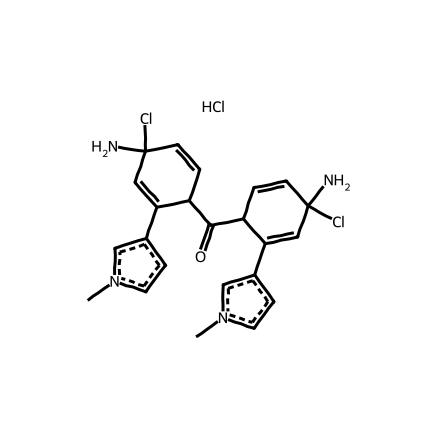 Cl.Cn1ccc(C2=CC(N)(Cl)C=CC2C(=O)C2C=CC(N)(Cl)C=C2c2ccn(C)c2)c1